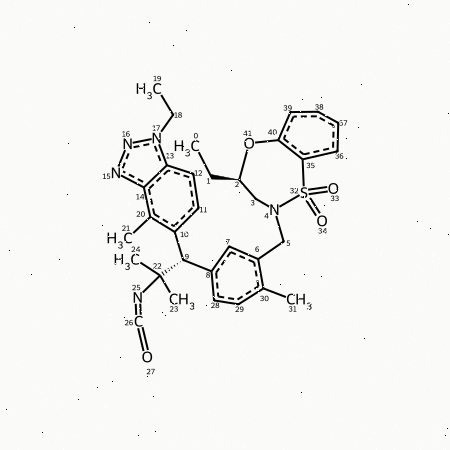 CC[C@@H]1CN(Cc2cc([C@@H](c3ccc4c(nnn4CC)c3C)C(C)(C)N=C=O)ccc2C)S(=O)(=O)c2ccccc2O1